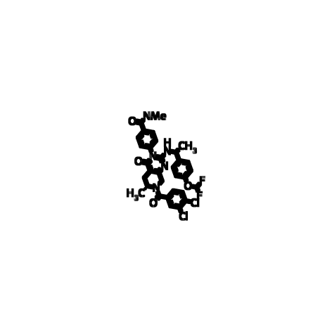 CNC(=O)c1ccc(-n2c(NC(C)c3ccc(OC(F)F)cc3)nc3c(c2=O)C[C@@H](C)N(C(=O)c2ccc(Cl)c(Cl)c2)C3)cc1